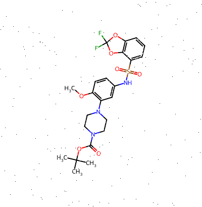 COc1ccc(NS(=O)(=O)c2cccc3c2OC(F)(F)O3)cc1N1CCN(C(=O)OC(C)(C)C)CC1